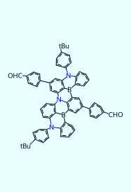 CC(C)(C)c1ccc(N2c3ccccc3B3c4cc(-c5ccc(C=O)cc5)cc5c4N(c4cccc2c43)c2cc(-c3ccc(C=O)cc3)cc3c2B5c2ccccc2N3c2ccc(C(C)(C)C)cc2)cc1